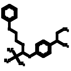 CCC(C)c1ccc(OC(OCCOc2ccccc2)C(C)(C)C)cc1